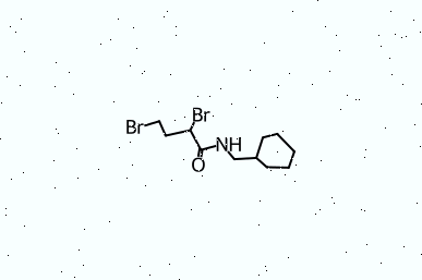 O=C(NCC1CCCCC1)C(Br)CCBr